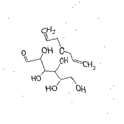 C=CCOCC=C.O=CC(O)C(O)C(O)C(O)CO